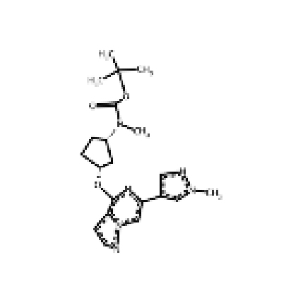 CN(C(=O)OC(C)(C)C)[C@H]1CC[C@@H](Oc2nc(-c3cnn(C)c3)cn3nccc23)C1